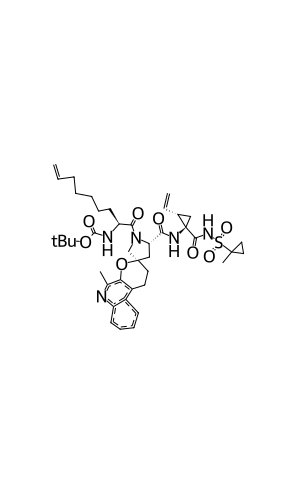 C=CCCCCC[C@H](NC(=O)OC(C)(C)C)C(=O)N1C[C@@]2(CCc3c(c(C)nc4ccccc34)O2)C[C@H]1C(=O)N[C@]1(C(=O)NS(=O)(=O)C2(C)CC2)C[C@H]1C=C